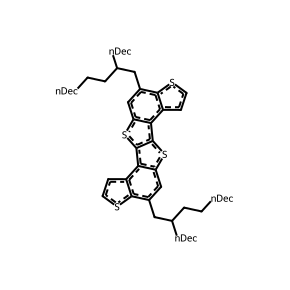 CCCCCCCCCCCCC(CCCCCCCCCC)Cc1cc2sc3c(sc4cc(CC(CCCCCCCCCC)CCCCCCCCCCCC)c5sccc5c43)c2c2ccsc12